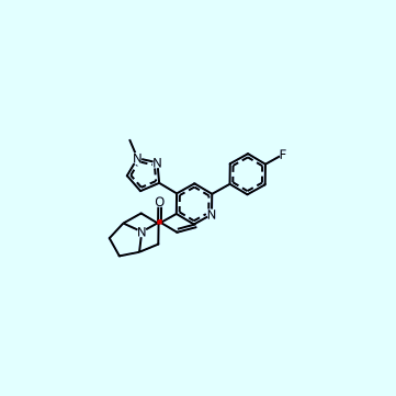 C=CC(=O)N1C2CCC1CC(c1cnc(-c3ccc(F)cc3)cc1-c1ccn(C)n1)C2